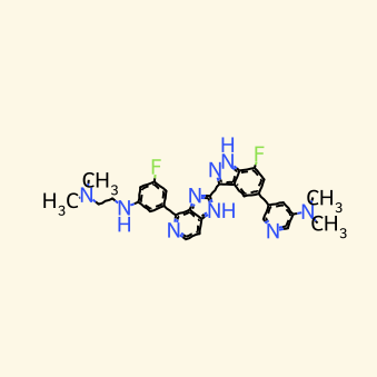 CN(C)CCNc1cc(F)cc(-c2nccc3[nH]c(-c4n[nH]c5c(F)cc(-c6cncc(N(C)C)c6)cc45)nc23)c1